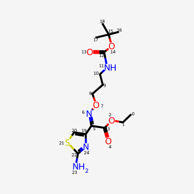 CCOC(=O)/C(=N\OCCCNC(=O)OC(C)(C)C)c1csc(N)n1